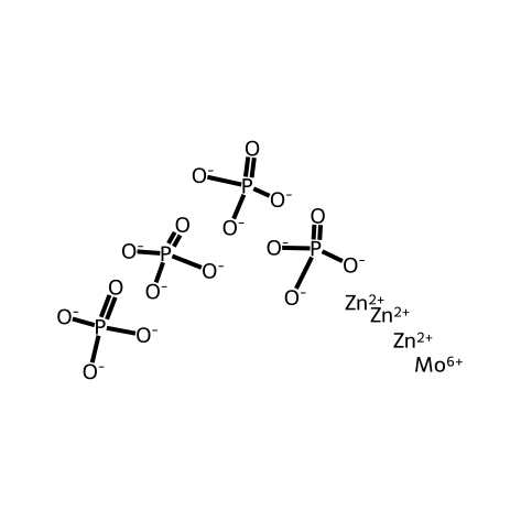 O=P([O-])([O-])[O-].O=P([O-])([O-])[O-].O=P([O-])([O-])[O-].O=P([O-])([O-])[O-].[Mo+6].[Zn+2].[Zn+2].[Zn+2]